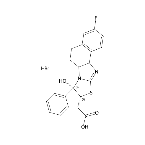 Br.O=C(O)C[C@H]1SC2=NC3c4ccc(F)cc4CCC3N2[C@]1(O)c1ccccc1